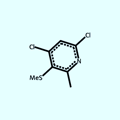 CSc1c(Cl)cc(Cl)nc1C